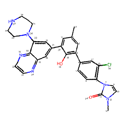 Cc1cc(-c2ccc(-n3ccn(C)c3=O)c(Cl)c2)c(O)c(-c2cc(N3CCNCC3)c3nccnc3c2)c1